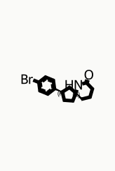 O=C1CCC[C@]2(CC[C@@H](c3ccc(Br)cc3)C2)N1